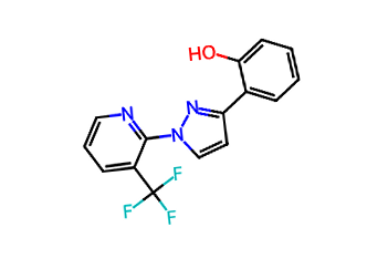 Oc1ccccc1-c1ccn(-c2ncccc2C(F)(F)F)n1